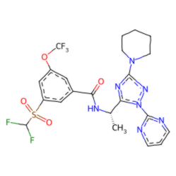 C[C@H](NC(=O)c1cc(OC(F)(F)F)cc(S(=O)(=O)C(F)F)c1)c1nc(N2CCCCC2)nn1-c1ncccn1